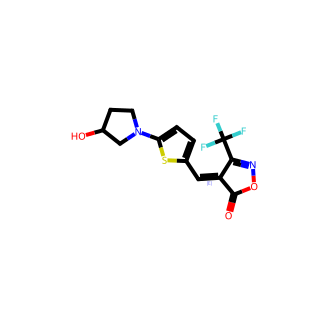 O=C1ON=C(C(F)(F)F)/C1=C\c1ccc(N2CCC(O)C2)s1